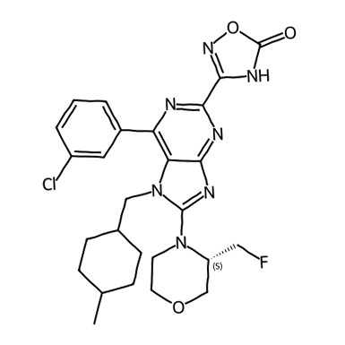 CC1CCC(Cn2c(N3CCOC[C@H]3CF)nc3nc(-c4noc(=O)[nH]4)nc(-c4cccc(Cl)c4)c32)CC1